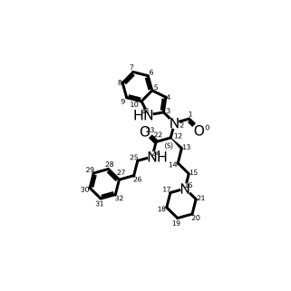 O=CN(c1cc2ccccc2[nH]1)[C@@H](CCCN1CCCCC1)C(=O)NCCc1ccccc1